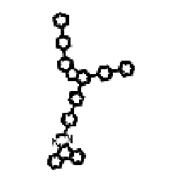 c1ccc(-c2ccc(-c3ccc4c(c3)-c3cc(-c5ccc(-c6ccccc6)cc5)cc(-c5ccc(-c6ccc(-c7cnc8c9ccccc9c9ccccc9c8n7)cc6)cc5)c3C4)cc2)cc1